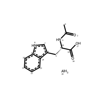 CC(=O)N[C@@H](Cc1c[nH]c2ccccc12)C(=O)O.[AlH3]